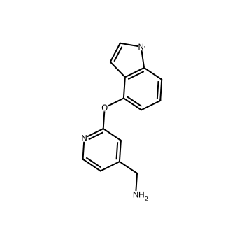 NCc1ccnc(Oc2cccc3c2C=C[N]3)c1